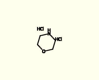 C1COCCN1.Cl.Cl